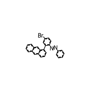 Brc1ccc(N=Nc2ccccc2)c(-c2cccc3cc4ccccc4cc23)c1